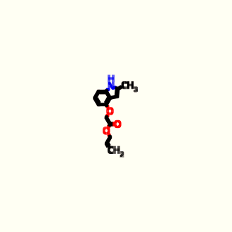 C=CCOC(=O)COc1cccc2[nH]c(C)cc12